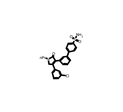 CCCN1CC(c2cccc(Cl)c2)=C(c2cccc(-c3ccc(S(N)(=O)=O)cc3)c2)C1=O